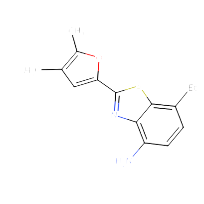 CCc1ccc(N)c2nc(-c3cc(C)c(C)o3)sc12